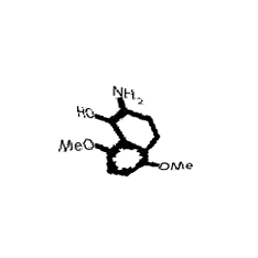 COc1ccc(OC)c2c1CCC(N)C2O